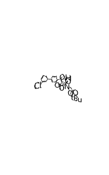 CC(C)(C)OC(=O)CNC(=O)c1c(O)c2ccc(-c3cccc(Cl)c3)cc2oc1=O